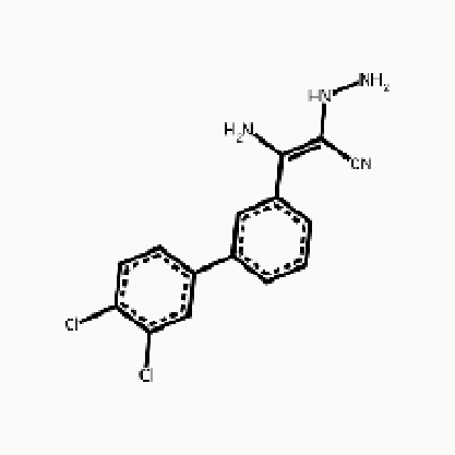 N#C/C(NN)=C(/N)c1cccc(-c2ccc(Cl)c(Cl)c2)c1